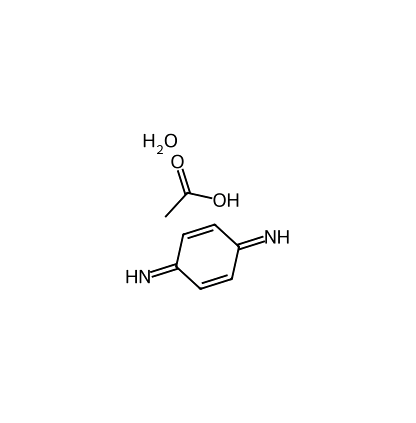 CC(=O)O.N=C1C=CC(=N)C=C1.O